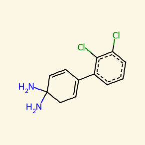 NC1(N)C=CC(c2cccc(Cl)c2Cl)=CC1